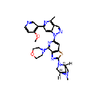 COc1ccncc1-c1cc2c(cnn2-c2cc3sc(N4C[C@@H]5C[C@H]4CN5C)nc3c(N3CCOCC3)n2)c(C)n1